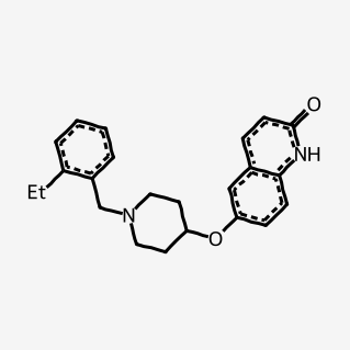 CCc1ccccc1CN1CCC(Oc2ccc3[nH]c(=O)ccc3c2)CC1